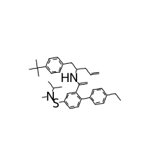 C=CCC(Cc1ccc(C(C)(C)C)cc1)NC(=C)c1cc(SN(C)C(C)C)ccc1-c1ccc(CC)cc1